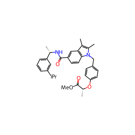 COC(=O)[C@@H](C)Oc1ccc(Cn2c(C)c(C)c3cc(C(=O)N[C@@H](C)c4cccc(C(C)C)c4)ccc32)cc1